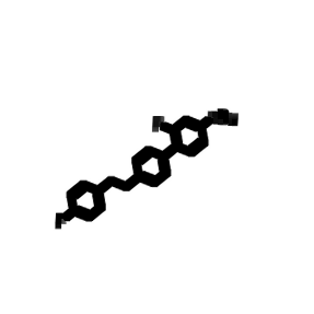 CCCCc1ccc(-c2ccc(CCc3ccc(F)cc3)cc2)c(F)c1